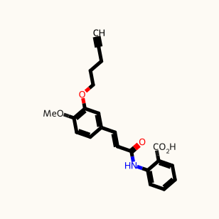 C#CCCCOc1cc(C=CC(=O)Nc2ccccc2C(=O)O)ccc1OC